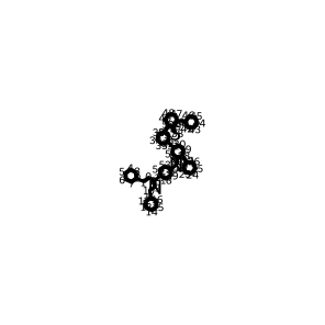 C(=C\c1ccccc1)/C(=N\Cc1ccccc1)c1ccc(-n2c3ccccc3c3ccc(-c4cccc5c4sc4c(-c6ccccc6)cccc45)cc32)cc1